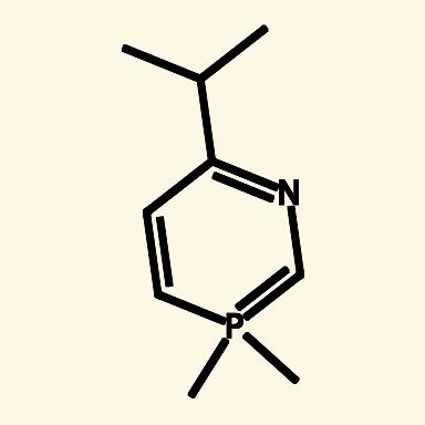 CC(C)C1=NC=P(C)(C)C=C1